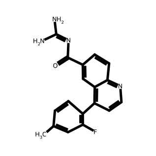 Cc1ccc(-c2ccnc3ccc(C(=O)N=C(N)N)cc23)c(F)c1